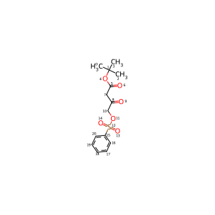 CC(C)(C)OC(=O)CC(=O)COS(=O)(=O)c1ccccc1